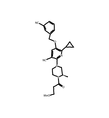 COCCC(=O)N1CCN(c2nc(C3CC3)c(OCc3cccc(C#N)c3)cc2C#N)C[C@H]1C